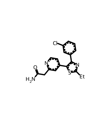 CCc1nc(-c2cccc(Cl)c2)c(-c2ccnc(CC(N)=O)c2)s1